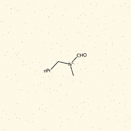 CCCC[N+](C)C=O